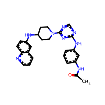 CC(=O)Nc1cccc(Nc2ncnc(N3CCC(Nc4ccc5ncccc5c4)CC3)n2)c1